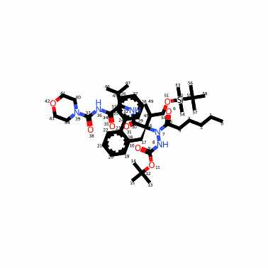 CCCCCC(=O)N(NC(=O)OC(C)(C)C)[C@](Cc1ccccc1-c1ccccc1)(C(=O)NC(C(=O)NC(=O)N1CCOCC1)C(C)C)C(C)CO[Si](C)(C)C(C)(C)C